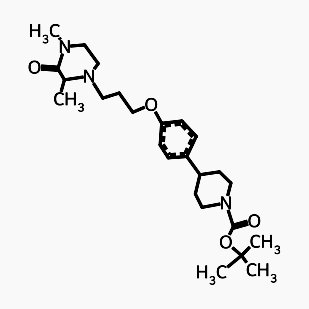 CC1C(=O)N(C)CCN1CCCOc1ccc(C2CCN(C(=O)OC(C)(C)C)CC2)cc1